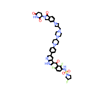 O=C1CCC(N2Cc3cc(N4CC(CN5CCN(C6CCN(c7ccc(-c8cnc9[nH]cc(C(=O)c%10c(F)ccc(NS(=O)(=O)N%11CC[C@@H](F)C%11)c%10F)c9c8)cc7)CC6)CC5)C4)ccc3C2=O)C(=O)N1